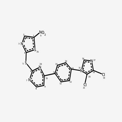 O=[N+]([O-])c1cnc(Sc2nccc(-c3ccc(-n4cnc(Cl)c4Cl)cc3)n2)s1